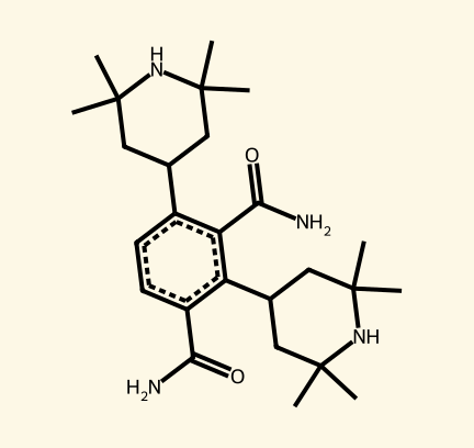 CC1(C)CC(c2ccc(C(N)=O)c(C3CC(C)(C)NC(C)(C)C3)c2C(N)=O)CC(C)(C)N1